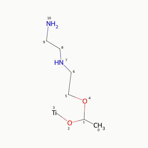 CC([O][Ti])OCCNCCN